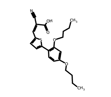 CCCCOc1ccc(-c2ccc(C=C(C#N)C(=O)O)s2)c(OCCCC)c1